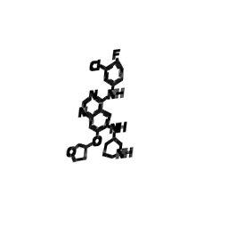 Fc1ccc(Nc2ncnc3cc(OC4CCOC4)c(NC4CCCNC4)cc23)cc1Cl